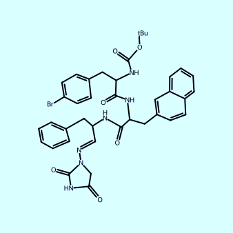 CC(C)(C)OC(=O)NC(Cc1ccc(Br)cc1)C(=O)NC(Cc1ccc2ccccc2c1)C(=O)NC(/C=N/N1CC(=O)NC1=O)Cc1ccccc1